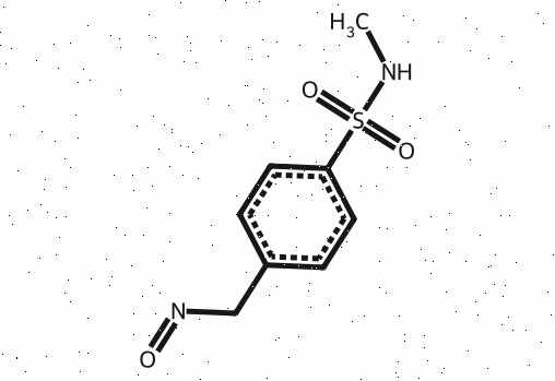 CNS(=O)(=O)c1ccc(CN=O)cc1